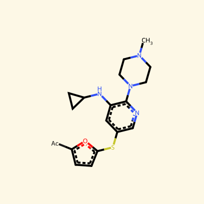 CC(=O)c1ccc(Sc2cnc(N3CCN(C)CC3)c(NC3CC3)c2)o1